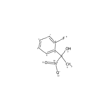 CC(O)(c1ccccc1F)[N+](=O)[O-]